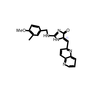 COc1ccc(CNC2=NC(=O)/C(=C/c3ccc4ncccc4n3)N2)cc1C